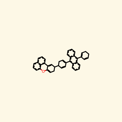 C1=CC(c2c3ccccc3c(C3=CCC(C4C=C5C(=CC4)Oc4cccc6cccc5c46)C=C3)c3ccccc23)=CCC1